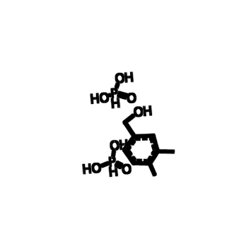 Cc1ccc(CO)cc1C.O=[PH](O)O.O=[PH](O)O